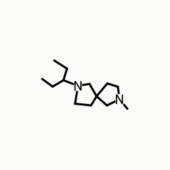 CCC(CC)N1CCC2(CCN(C)C2)C1